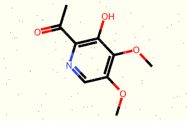 COc1cnc(C(C)=O)c(O)c1OC